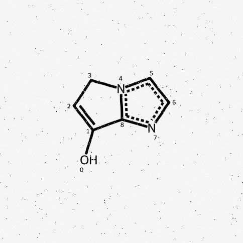 OC1=CCn2ccnc21